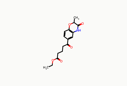 CCOC(=O)CCCC(=O)c1ccc2c(c1)NC(=O)C(C)O2